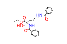 CCOC(=O)[C@@](CO)(CCCCNC(=O)c1ccccc1)NC(=O)c1ccccc1